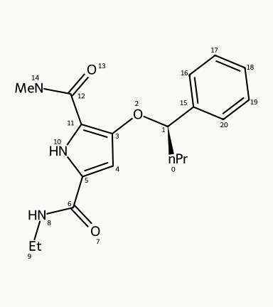 CCC[C@@H](Oc1cc(C(=O)NCC)[nH]c1C(=O)NC)c1ccccc1